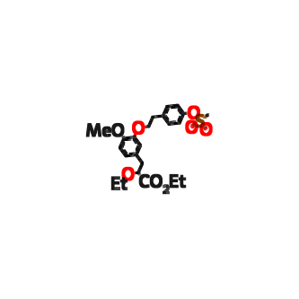 CCOC(=O)C(Cc1ccc(OC)c(OCCc2ccc(OS(C)(=O)=O)cc2)c1)OCC